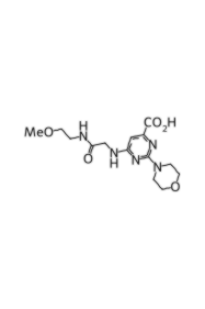 COCCNC(=O)CNc1cc(C(=O)O)nc(N2CCOCC2)n1